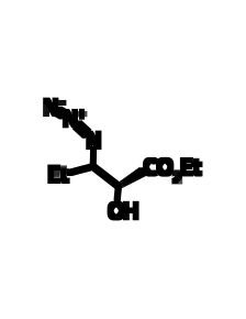 CCOC(=O)[C@@H](O)C(CC)N=[N+]=[N-]